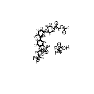 CC(=O)OCC(=O)N1CCN(c2ccc(C)c(-c3ccc4c(c3)N(C)S(=O)(=O)N4CC3CC3(F)F)n2)CC1.O=C(O)C(F)(F)F